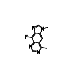 Cc1ncnc2c(F)c3ncn(C)c3cc12